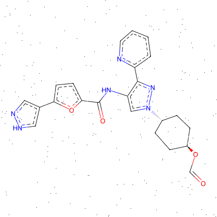 O=CO[C@H]1CC[C@H](n2cc(NC(=O)c3ccc(-c4cn[nH]c4)o3)c(-c3ccccn3)n2)CC1